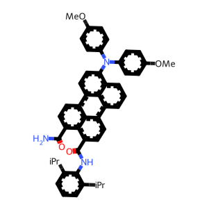 COc1ccc(N(c2ccc(OC)cc2)c2ccc3c4ccc(C(N)=O)c5c(C(=O)Nc6c(C(C)C)cccc6C(C)C)ccc(c6cccc2c36)c54)cc1